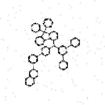 c1ccc(-c2cc(-c3ccccc3)cc(N(c3ccc(-c4cccc(-c5ccc6ccccc6c5)c4)cc3)c3cccc4c3-c3ccccc3C4(c3ccccc3)c3ccccc3)c2)cc1